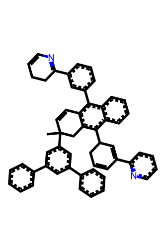 CC1(c2cc(-c3ccccc3)cc(-c3ccccc3)c2)C=Cc2c(c(C3C=C(c4ccccn4)C=CC3)c3ccccc3c2-c2cccc(C3=NC=CCC3)c2)C1